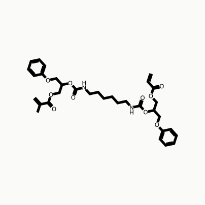 C=CC(=O)OCC(COc1ccccc1)OC(=O)NCCCCCCNC(=O)OC(COC(=O)C(=C)C)COc1ccccc1